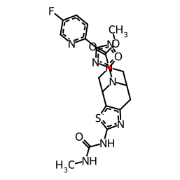 CNC(=O)Nc1nc2c(s1)C1CN(C(=O)OC)CC(C2)N1c1nc(-c2ccc(F)cn2)no1